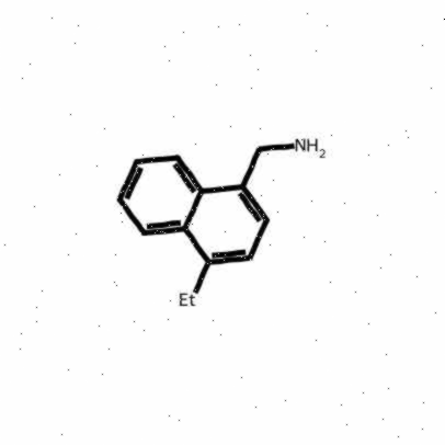 CCc1ccc(CN)c2ccccc12